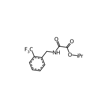 CC(C)OC(=O)C(=O)NCc1ccccc1C(F)(F)F